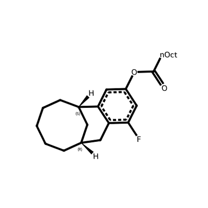 CCCCCCCCC(=O)Oc1cc(F)c2c(c1)[C@H]1CCCCC[C@@H](C2)C1